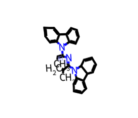 C=C(C)/C(=N\C(=C/C)n1c2ccccc2c2ccccc21)N1c2ccccc2C2C=CC=CC21